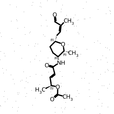 CC(=O)O[C@@H](C)C=CC(=O)N[C@@H]1CC[C@H](CC=C(C)C=O)O[C@@H]1C